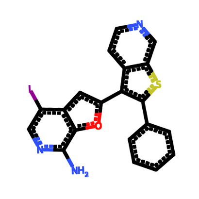 Nc1ncc(I)c2cc(-c3c(-c4ccccc4)sc4cnccc34)oc12